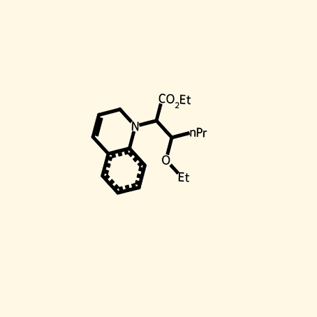 CCCC(OCC)C(C(=O)OCC)N1CC=Cc2ccccc21